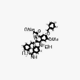 COCC(=O)Nc1cc(OCc2ccccc2)c(OC)cc1[C@H](Nc1ccc(C(=N)N)cc1)C(=O)NCc1ccccc1.Cl